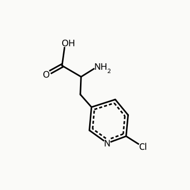 NC(Cc1ccc(Cl)nc1)C(=O)O